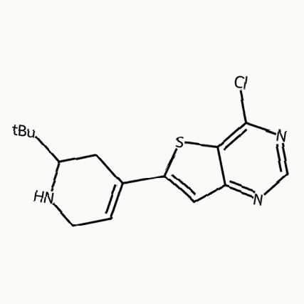 CC(C)(C)C1CC(c2cc3ncnc(Cl)c3s2)=CCN1